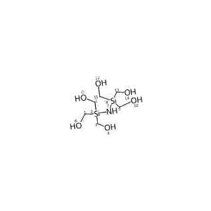 OC[Si](CO)(CO)N[Si](CO)(CO)CO